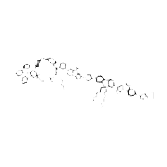 CCCCCCCCC1(CCCCCCC)c2cc(-c3ccc(-c4ccc5c(c4)C(C)(C)c4cc(-c6ccc7c(c6)C6(CCCCCCCC)CCCCCCCc8cc9c(cc8-c8ccc(cc8)-c8ccc-7c6c8)C(c6ccccc6)(c6ccccc6)c6ccccc6-9)ccc4-5)cc3)ccc2-c2ccc(-c3ccc4c(c3)C(C)(C)c3cc(-c5ccc(Cl)cc5)ccc3-4)cc21